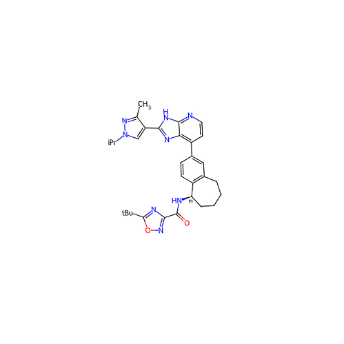 Cc1nn(C(C)C)cc1-c1nc2c(-c3ccc4c(c3)CCCC[C@H]4NC(=O)c3noc(C(C)(C)C)n3)ccnc2[nH]1